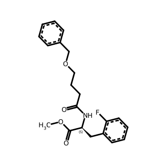 COC(=O)[C@H](Cc1ccccc1F)NC(=O)CCCOCc1ccccc1